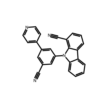 N#Cc1cc(-c2ccncc2)cc(-n2c3ccccc3c3cccc(C#N)c32)c1